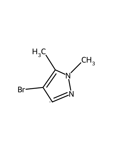 Cc1c(Br)[c]nn1C